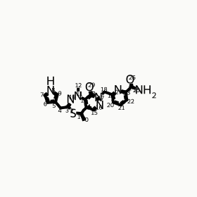 C=C1SC(Cc2cc[nH]c2)=NN(C)c2c1cnn(Cc1cccc(C(N)=O)n1)c2=O